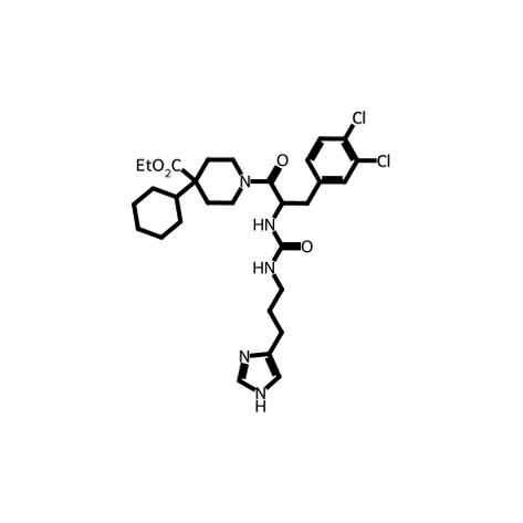 CCOC(=O)C1(C2CCCCC2)CCN(C(=O)C(Cc2ccc(Cl)c(Cl)c2)NC(=O)NCCCc2c[nH]cn2)CC1